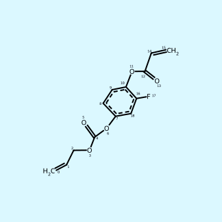 C=CCOC(=O)Oc1ccc(OC(=O)C=C)c(F)c1